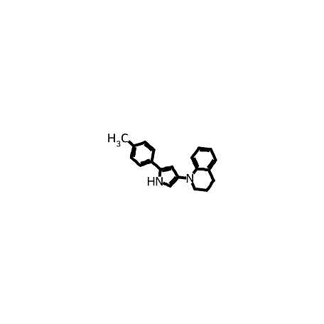 Cc1ccc(-c2cc(N3CCCc4ccccc43)c[nH]2)cc1